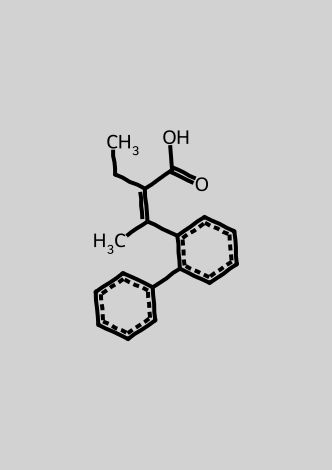 CCC(C(=O)O)=C(C)c1ccccc1-c1ccccc1